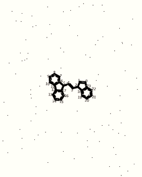 C1=CC(C=CC2c3ccccc3-c3ccccc32)c2ccccc21